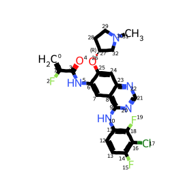 C=C(F)C(=O)Nc1cc2c(Nc3ccc(F)c(Cl)c3F)ncnc2cc1O[C@@H]1CCN(C)C1